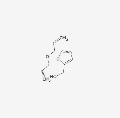 C=CCOCC=C.OCc1ccco1